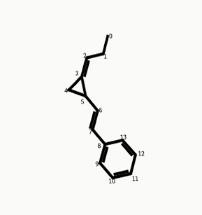 CCC=C1CC1C=Cc1ccccc1